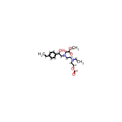 C=Cc1ccc(C(O)CN(CCN(CC)CCOC=O)CC(=O)OC)cc1